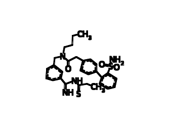 CCCCN(Cc1cccc(C(=N)NC(=S)CC)c1)C(=O)Cc1ccc(-c2ccccc2S(N)(=O)=O)cc1